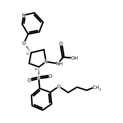 CCCCOc1ccccc1S(=O)(=O)[C@@H]1C[C@H](Oc2cccnc2)CN1NC(=O)O